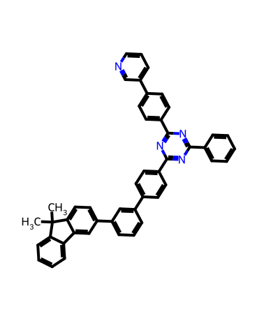 CC1(C)c2ccccc2-c2cc(-c3cccc(-c4ccc(-c5nc(-c6ccccc6)nc(-c6ccc(-c7cccnc7)cc6)n5)cc4)c3)ccc21